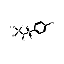 CN([Si](C)(C)C(C)(C)C)S(=O)(=O)c1ccc(C#N)cc1